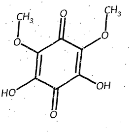 COC1=C(O)C(=O)C(O)=C(OC)C1=O